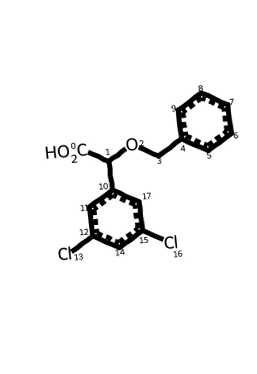 O=C(O)C(OCc1ccccc1)c1cc(Cl)cc(Cl)c1